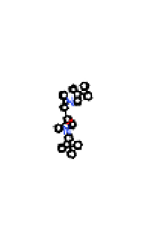 c1ccc(N(c2ccc3c(c2)-c2ccccc2C3(c2ccccc2)c2ccccc2)c2ccccc2-c2cccc(-c3ccc4c5ccccc5n(-c5cccc6c5-c5ccccc5C6(c5ccccc5)c5ccccc5)c4c3)c2)cc1